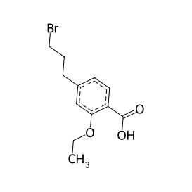 CCOc1cc(CCCBr)ccc1C(=O)O